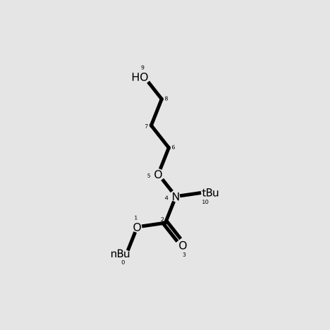 CCCCOC(=O)N(OCCCO)C(C)(C)C